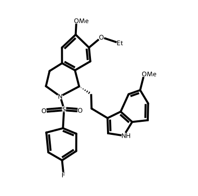 CCOc1cc2c(cc1OC)CCN(S(=O)(=O)c1ccc(F)cc1)[C@H]2CCc1c[nH]c2ccc(OC)cc12